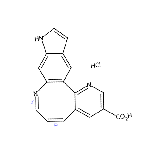 Cl.O=C(O)c1cnc2c(c1)/C=C\C=N/c1cc3[nH]ccc3cc1-2